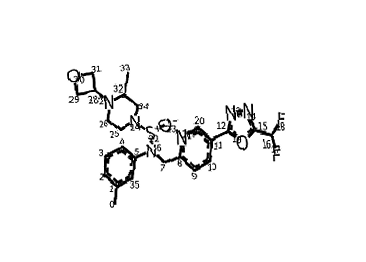 Cc1cccc(N(Cc2ccc(-c3nnc(C(F)F)o3)cn2)[S+]([O-])N2CCN(C3COC3)[C@@H](C)C2)c1